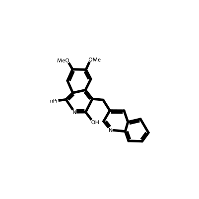 CCCc1nc(O)c(Cc2cnc3ccccc3c2)c2cc(OC)c(OC)cc12